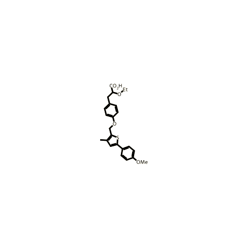 CCOC(Cc1ccc(OCc2sc(-c3ccc(OC)cc3)cc2C)cc1)C(=O)O